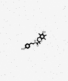 Cc1c(C)c2c(c(C)c1O)CCC(C)(C(=O)NCCc1ccc(O)cc1)O2